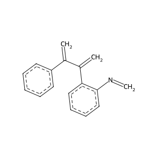 C=Nc1ccccc1C(=C)C(=C)c1ccccc1